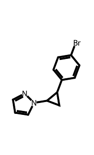 Brc1ccc(C2CC2n2cccn2)cc1